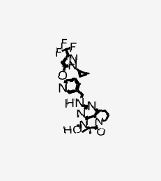 CN1c2nc(NCc3ccc(Oc4cc(C(F)(F)F)nn4C4CC4)nc3)nc3c2N(CCC3)C(=O)[C@]1(C)CO